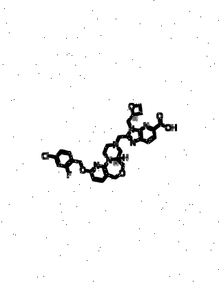 O=C(O)c1ccc2nc(CN3CCN4c5nc(OCc6ccc(Cl)cc6F)ccc5COC[C@H]4C3)n(C[C@@H]3CCO3)c2n1